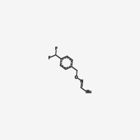 CC(C)(C)C=NOCc1ccc(C(F)F)cc1